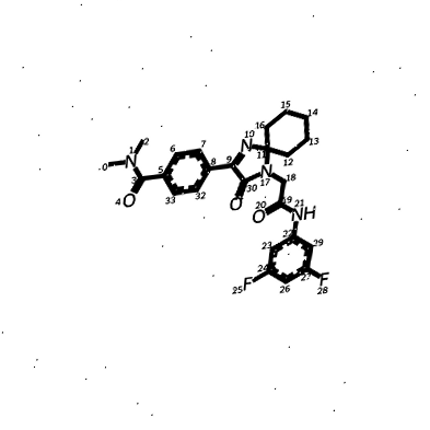 CN(C)C(=O)c1ccc(C2=NC3(CCCCC3)N(CC(=O)Nc3cc(F)cc(F)c3)C2=O)cc1